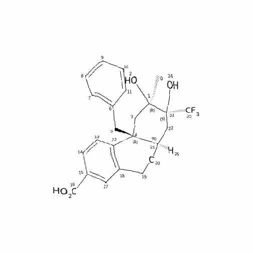 C[C@@]1(O)C[C@@]2(Cc3ccccc3)c3ccc(C(=O)O)cc3CC[C@@H]2C[C@@]1(O)C(F)(F)F